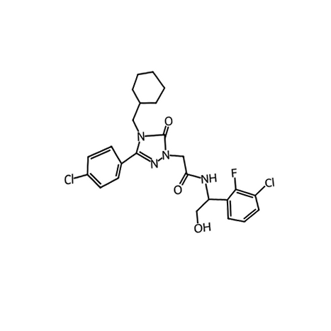 O=C(Cn1nc(-c2ccc(Cl)cc2)n(CC2CCCCC2)c1=O)NC(CO)c1cccc(Cl)c1F